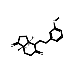 COc1cccc(CCC2C(=O)CC[C@]3(C)C(=O)CC[C@@H]23)c1